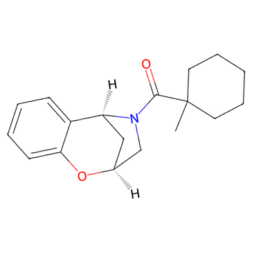 CC1(C(=O)N2C[C@@H]3C[C@H]2c2ccccc2O3)CCCCC1